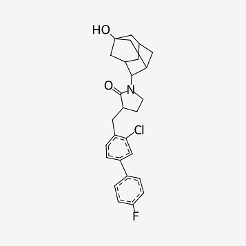 O=C1C(Cc2ccc(-c3ccc(F)cc3)cc2Cl)CCN1C1C2CC3CC1CC(O)(C3)C2